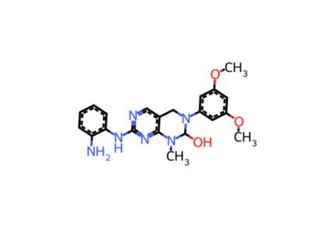 COc1cc(OC)cc(N2Cc3cnc(Nc4ccccc4N)nc3N(C)C2O)c1